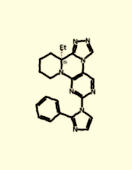 CC[C@@]12CCCCN1c1nc(-n3ccnc3-c3ccccc3)ncc1-n1cnnc12